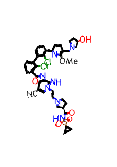 COc1nc(-c2cccc(-c3cccc(-c4nc5c(=N)n(CCN6CC[C@@H](C(=O)NS(=O)(=O)C7CC7)C6)cc(C#N)c5o4)c3Cl)c2Cl)ccc1CN1CC[C@@H](O)C1